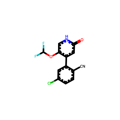 N#Cc1ccc(Cl)cc1-c1cc(=O)[nH]cc1OC(F)F